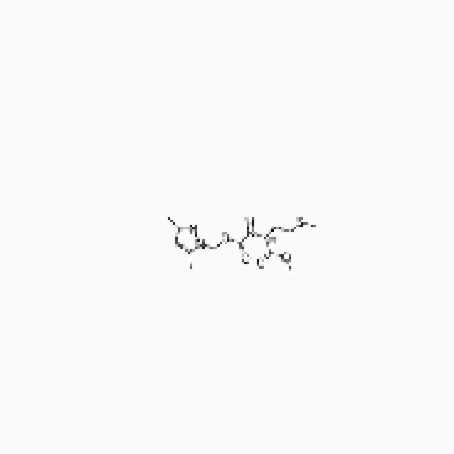 COC(=O)[C@H](CCSC)NC(=O)OCn1nc(C)cc1C